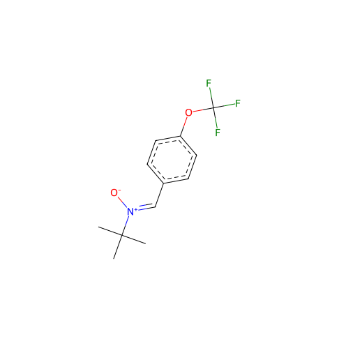 CC(C)(C)[N+]([O-])=Cc1ccc(OC(F)(F)F)cc1